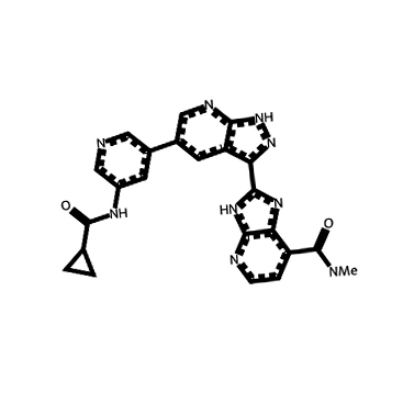 CNC(=O)c1ccnc2[nH]c(-c3n[nH]c4ncc(-c5cncc(NC(=O)C6CC6)c5)cc34)nc12